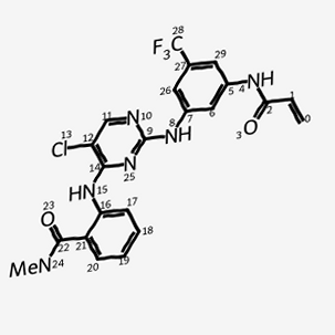 C=CC(=O)Nc1cc(Nc2ncc(Cl)c(Nc3ccccc3C(=O)NC)n2)cc(C(F)(F)F)c1